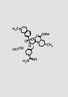 COC(=O)[C@H]1C[C@@H](C)CCN1C(=O)[C@H](CC1=CCCN(C(=N)N)C1)NS(=O)(=O)c1ccc2c(c1)CN(C)CC2.Cl.Cl